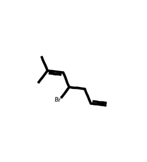 C=CCC(Br)C=C(C)C